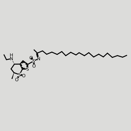 CCCCCCCCCCCCCCCCCCC/C(C)=N/S(=O)(=O)c1cc2c(s1)S(=O)(=O)[C@@H](C)C[C@@H]2NCC